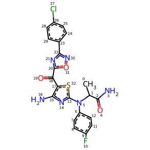 CC(C(N)=O)N(c1ccc(F)cc1)c1nc(N)c(C(=O)c2nc(-c3ccc(Cl)cc3)no2)s1